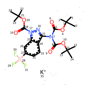 CC(C)(C)OC(=O)N(C(=O)OC(C)(C)C)c1nn(C(=O)OC(C)(C)C)c2cc([B-](F)(F)F)ccc12.[K+]